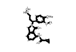 CCOc1cc(C(CCNO)N2Cc3cccc(NC(=O)C4CC4)c3C2=O)ccc1OC